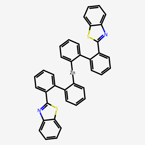 c1ccc(-c2ccccc2-c2nc3ccccc3s2)[c]([Zn][c]2ccccc2-c2ccccc2-c2nc3ccccc3s2)c1